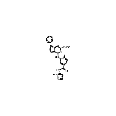 CNc1nc(Nc2cc(C(=O)Nc3ccnn3C)ccc2C)c2cnn(-c3ccccc3)c2n1